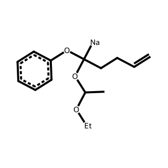 C=CCC[C]([Na])(Oc1ccccc1)OC(C)OCC